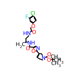 C=C(CCNC(=O)COc1ccc(Cl)c(F)c1)NC(=O)c1cnc(C2=CCCN(C(=O)OC(C)(C)C)C2)o1